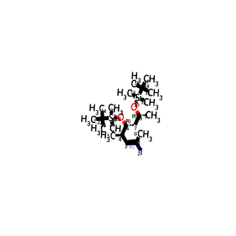 C/C(I)=C\[C@@H](C)[C@@H](C[C@@H](C)O[Si](C)(C)C(C)(C)C)O[Si](C)(C)C(C)(C)C